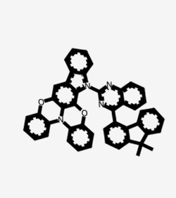 CC1(C)c2ccccc2-c2c(-c3nc(-n4c5ccccc5c5cc6c7c(c54)Oc4ccccc4N7c4ccccc4O6)nc4ccccc34)cccc21